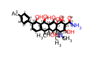 CC(=O)c1ccc(-c2ccc3c(c2O)C(=O)C2=C(O)[C@]4(O)C(=O)C(C(N)=O)=C(O)[C@@H](N(C)C)[C@@H]4[C@@H](O)[C@@H]2[C@H]3C)cc1